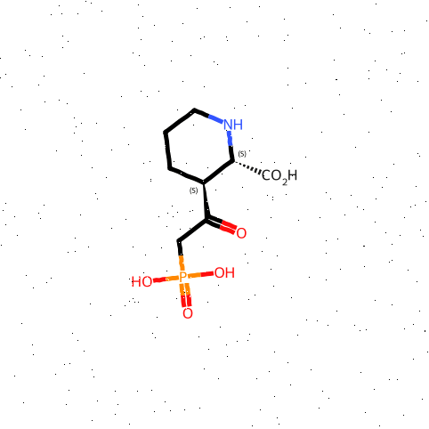 O=C(CP(=O)(O)O)[C@H]1CCCN[C@@H]1C(=O)O